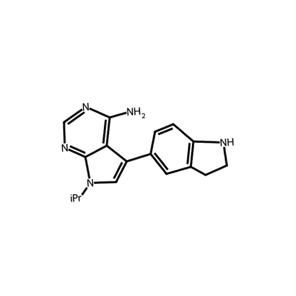 CC(C)n1cc(-c2ccc3c(c2)CCN3)c2c(N)ncnc21